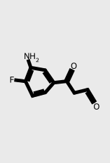 Nc1cc(C(=O)CC=O)ccc1F